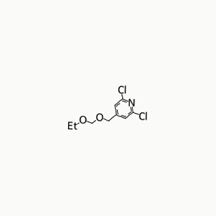 CCOCOCc1cc(Cl)nc(Cl)c1